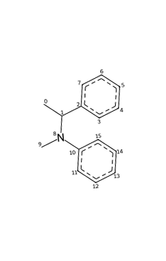 CC(c1ccccc1)N(C)c1ccccc1